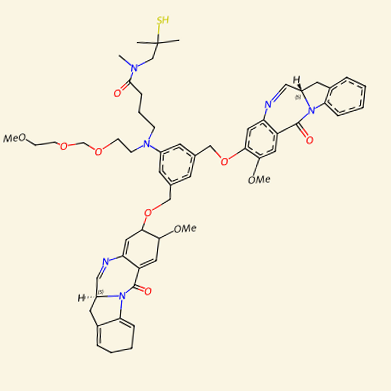 COCCOCOCCN(CCCC(=O)N(C)CC(C)(C)S)c1cc(COc2cc3c(cc2OC)C(=O)N2c4ccccc4C[C@H]2C=N3)cc(COC2C=C3N=C[C@@H]4CC5=CCCC=C5N4C(=O)C3=CC2OC)c1